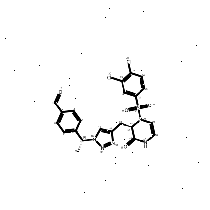 C[C@H](c1ccc(C=O)cc1)n1cc(C[C@@H]2C(=O)NC=CN2S(=O)(=O)c2ccc(Cl)c(Cl)c2)nn1